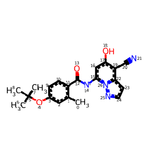 Cc1cc(OC(C)(C)C)ccc1C(=O)[N]c1cc(O)c(C#N)c2ccnn12